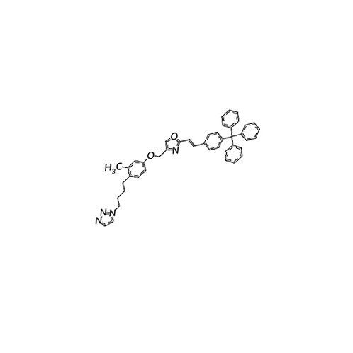 Cc1cc(OCc2coc(C=Cc3ccc(C(c4ccccc4)(c4ccccc4)c4ccccc4)cc3)n2)ccc1CCCCn1ccnn1